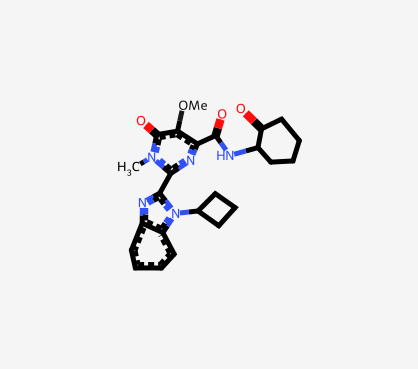 COc1c(C(=O)NC2CCCCC2=O)nc(-c2nc3ccccc3n2C2CCC2)n(C)c1=O